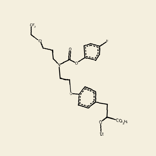 CCOC(Cc1ccc(OCCN(CCCOCC(F)(F)F)C(=O)Oc2ccc(F)cc2)cc1)C(=O)O